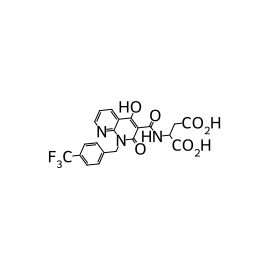 O=C(O)CC(NC(=O)c1c(O)c2cccnc2n(Cc2ccc(C(F)(F)F)cc2)c1=O)C(=O)O